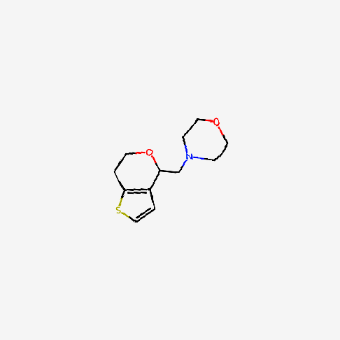 c1cc2c(s1)CCOC2CN1CCOCC1